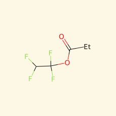 [CH2]CC(=O)OC(F)(F)C(F)F